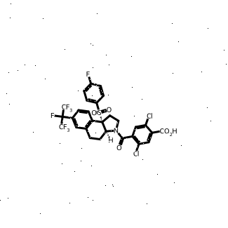 O=C(O)c1cc(Cl)c(C(=O)N2CC[C@]3(S(=O)(=O)c4ccc(F)cc4)c4ccc(C(F)(C(F)(F)F)C(F)(F)F)cc4CC[C@H]23)cc1Cl